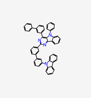 c1ccc(-c2cccc(-c3nc(-c4cccc(-c5cccc(-n6c7ccccc7c7ccccc76)c5)c4)nc4c5ccccc5n(-c5ccccc5)c34)c2)cc1